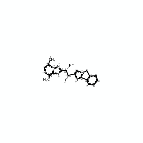 Cc1ncc(C)n2nc([C@H](F)[C@@H](F)c3cn4c(n3)-c3ccccc3C4)nc12